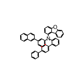 c1ccc(-c2ccc(-c3ccccc3N(c3cccc(-c4ccc5ccccc5c4)c3)c3cccc4oc5ccccc5c34)cc2)cc1